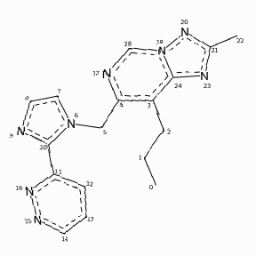 CCCc1c(Cn2ccnc2-c2cccnn2)ncn2nc(C)nc12